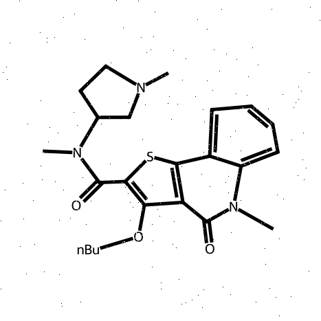 CCCCOc1c(C(=O)N(C)C2CCN(C)C2)sc2c1c(=O)n(C)c1ccccc21